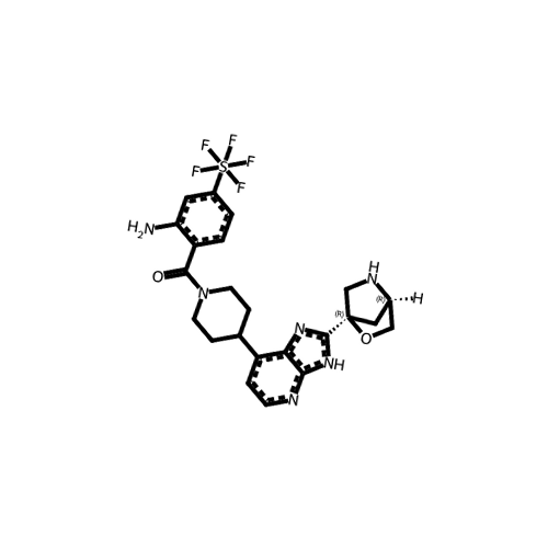 Nc1cc(S(F)(F)(F)(F)F)ccc1C(=O)N1CCC(c2ccnc3[nH]c([C@@]45CN[C@@H](CO4)C5)nc23)CC1